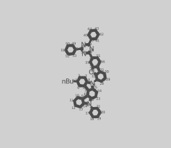 CCCCc1ccc2c(c1)c1c3c4ccccc4n(-c4ccccc4)c3ccc1n2-c1cccc2c1oc1cc(-c3nc(-c4ccccc4)nc(-c4ccccc4)n3)ccc12